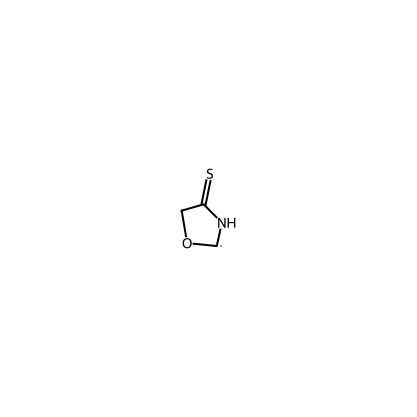 S=C1CO[CH]N1